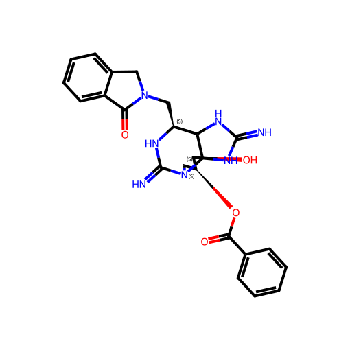 N=C1NC2[C@H](CN3Cc4ccccc4C3=O)NC(=N)N3C[C@H](OC(=O)c4ccccc4)[C@@H](O)C23N1